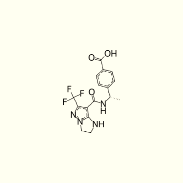 C[C@H](NC(=O)c1c(C(F)(F)F)nn2c1NCC2)c1ccc(C(=O)O)cc1